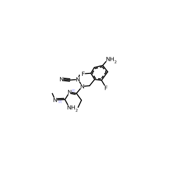 CC/C(=N\C(N)=N/C)N(Cc1c(F)cc(N)cc1F)N(C)C#N